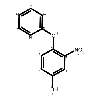 O=[N+]([O-])c1cc(O)ccc1Oc1ccccc1